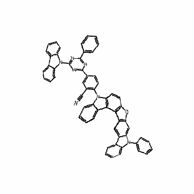 N#Cc1cc(-c2nc(-c3ccccc3)nc(-n3c4ccccc4c4ccccc43)n2)ccc1-n1c2ccccc2c2c3c(ccc21)oc1cc2c(cc13)c1ccccc1n2-c1ccccc1